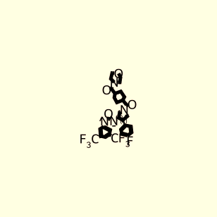 CN(C(=O)N(C)[C@@H]1CN(C(=O)C2CCC(C(=O)N3CCOCC3)CC2)C[C@H]1c1ccc(F)cc1)c1cc(C(F)(F)F)cc(C(F)(F)F)c1